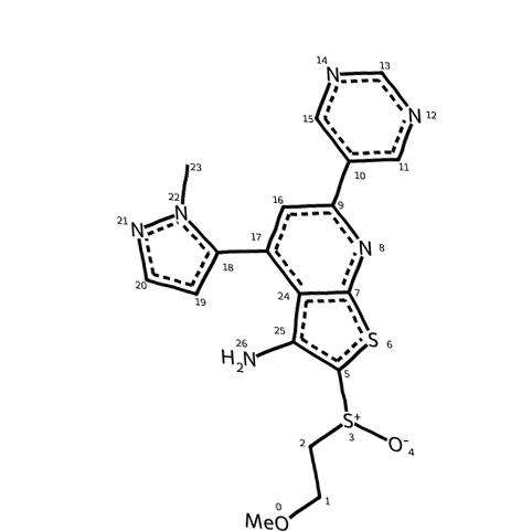 COCC[S+]([O-])c1sc2nc(-c3cncnc3)cc(-c3ccnn3C)c2c1N